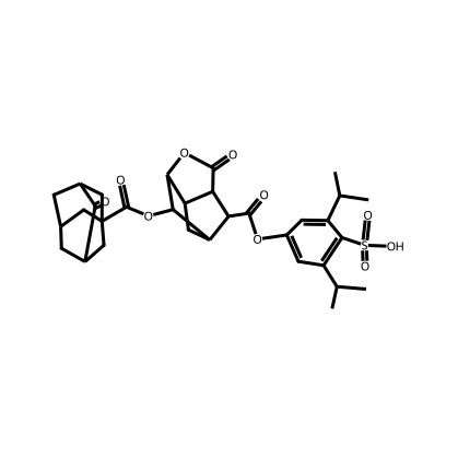 CC(C)c1cc(OC(=O)C2C3CC4C(OC(=O)C42)C3OC(=O)C23CC4CC(C2)C(=O)C(C4)C3)cc(C(C)C)c1S(=O)(=O)O